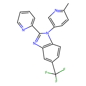 Cc1ccc(-n2c(-c3ccccn3)nc3cc(C(F)(F)F)ccc32)cn1